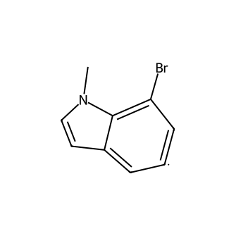 Cn1ccc2c[c]cc(Br)c21